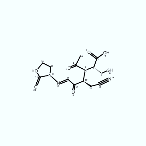 CC(=O)N([C@@H](CS)C(=O)O)[C@@H](CC#N)C(=O)C=NN1CCOC1=O